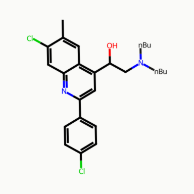 CCCCN(CCCC)CC(O)c1cc(-c2ccc(Cl)cc2)nc2cc(Cl)c(C)cc12